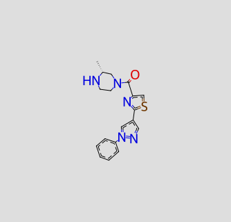 C[C@@H]1CN(C(=O)c2csc(-c3cnn(-c4ccccc4)c3)n2)CCN1